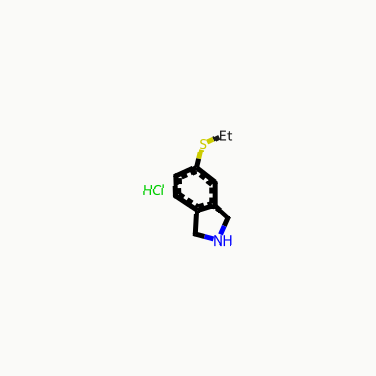 CCSc1ccc2c(c1)CNC2.Cl